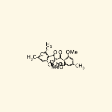 CCCCP(=O)(C(=O)c1c(C)cc(C)cc1C)C(=O)c1c(OC)cc(C)cc1OC